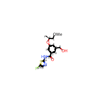 COC[C@H](C)Oc1cc(CO)cc(C(=O)Nc2ncc(F)s2)c1